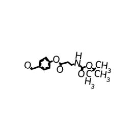 CC(C)(C)OC(=O)NCCC(=O)Oc1ccc(C=O)cc1